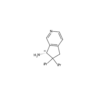 CC(C)C1(C(C)C)Cc2ccncc2[C@H]1N